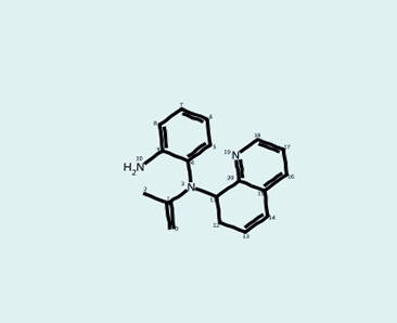 C=C(C)N(c1ccccc1N)C1CC=Cc2cccnc21